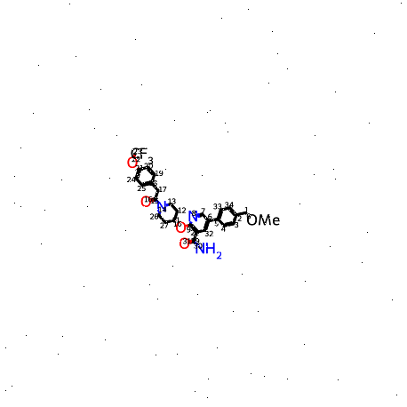 COCc1ccc(-c2cnc(OC3CCN(C(=O)Cc4ccc(OC(F)(F)F)cc4)CC3)c(C(N)=O)c2)cc1